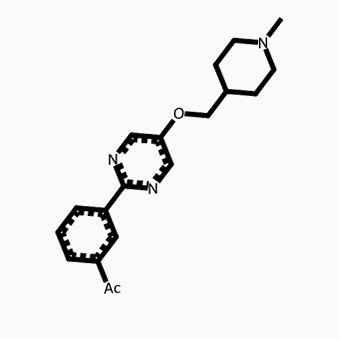 CC(=O)c1cccc(-c2ncc(OCC3CCN(C)CC3)cn2)c1